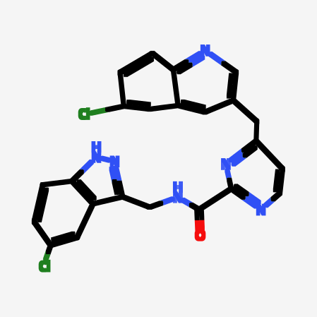 O=C(NCc1n[nH]c2ccc(Cl)cc12)c1nccc(Cc2cnc3ccc(Cl)cc3c2)n1